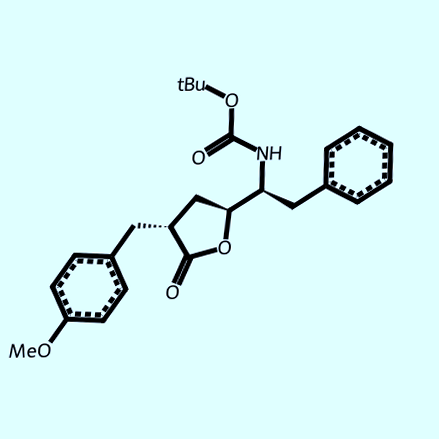 COc1ccc(C[C@@H]2C[C@@H]([C@H](Cc3ccccc3)NC(=O)OC(C)(C)C)OC2=O)cc1